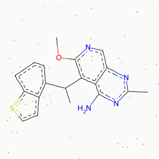 COc1ncc2nc(C)nc(N)c2c1C(C)c1cccc2sccc12